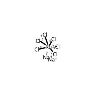 [Cl][Ru-2]([Cl])([Cl])([Cl])([Cl])[Cl].[Na+].[Na+]